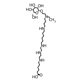 CCN(CCCCNCCCCCCNCCNCCNCCCCCC(=O)O)CCO[C@H]1O[C@H](CO)[C@@H](O)[C@H](O)[C@@H]1O